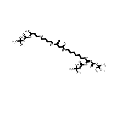 CC(CCNCCCCNC(=O)CC(=O)NCCCCCCN/C(=N/C(=O)OC(C)(C)C)NC(=O)OC(C)(C)C)NC(=O)OC(C)(C)C